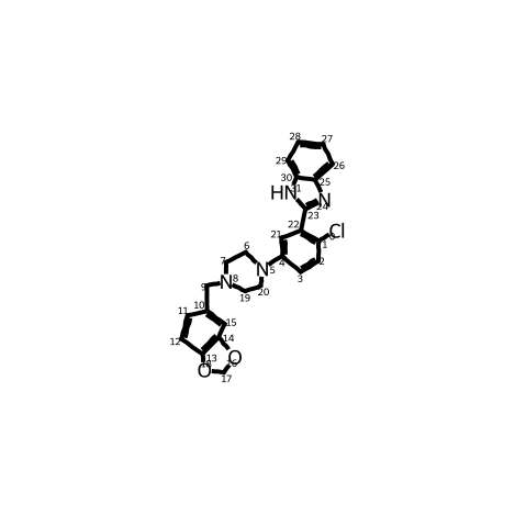 Clc1ccc(N2CCN(Cc3ccc4c(c3)OCO4)CC2)cc1-c1nc2ccccc2[nH]1